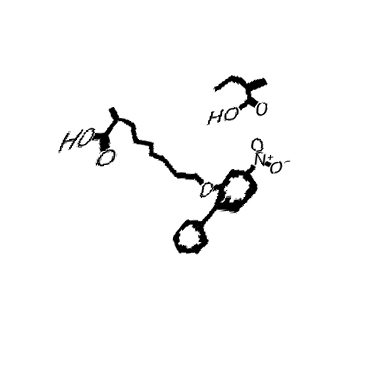 C=C(CC)C(=O)O.C=C(CCCCCCCOc1cc([N+](=O)[O-])ccc1-c1ccccc1)C(=O)O